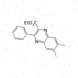 CCOC(=O)c1nc2cc(C)c(C)cc2nc1-c1ccccc1